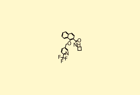 O=C(NC1CCC1)c1ccc2ccccc2c1OCc1ccc(C(F)(F)F)nc1